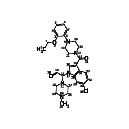 CCOc1ccccc1N1CCN(C(=O)c2cn(C(C=O)N3CCN(C)CC3)c3cc(Cl)ccc23)CC1